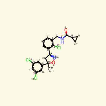 O=C(NCc1cccc(C2=NOC(c3cc(Cl)cc(Cl)c3)(C(F)(F)F)C2)c1Cl)C1CC1